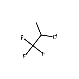 CC(Cl)C(F)(F)F